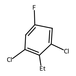 [CH2]Cc1c(Cl)cc(F)cc1Cl